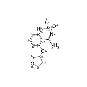 NC1=NS(=O)(=O)Nc2cccc(OC3CCOC3)c21